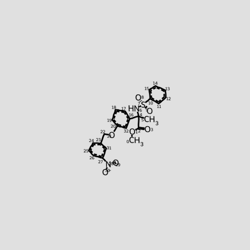 COC(=O)C(C)(NS(=O)(=O)c1ccccc1)c1cccc(OCc2cccc([N+](=O)[O-])c2)c1